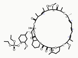 CCOP(=O)(OCC)O[C@@H]1CCC(C[C@H]2C3CCCN4C(=O)C(=O)C5(O)OC(CCC5C)CC(OC)/C(C)=C/C=C/C=C/[C@@H](C)CC(C)C(=O)[C@H](OC)C(O)/C(C)=C/C(C)C(=O)C[C@@H]2OC(=O)C34)CC1OC